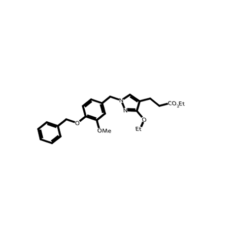 CCOC(=O)CCc1cn(Cc2ccc(OCc3ccccc3)c(OC)c2)nc1OCC